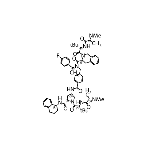 CN[C@@H](C)C(=O)N[C@H](C(=O)N1C[C@@H](NC(=O)c2ccc(CN(C(=O)[C@@H]3Cc4ccccc4CN3C(=O)[C@@H](NC(=O)[C@H](C)NC)C(C)(C)C)[C@H](C)c3ccc(F)cc3)cc2)C[C@H]1C(=O)N[C@@H]1CCCc2ccccc21)C(C)(C)C